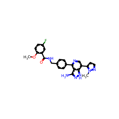 COc1ccc(F)cc1C(=O)NCc1ccc(-c2ncc(-c3ccnn3C)c3[nH]nc(N)c23)cc1